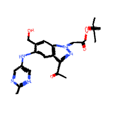 CC(=O)c1nn(CC(=O)OC(C)(C)C)c2cc(CO)c(Nc3cnc(C)nc3)cc12